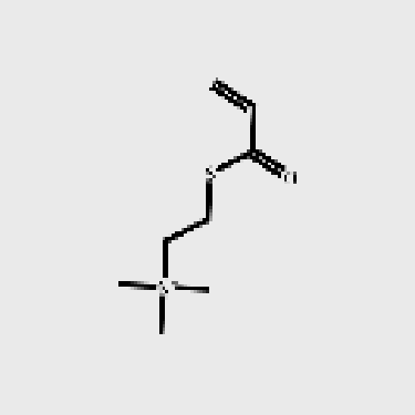 C=CC(=O)SCC[N+](C)(C)C